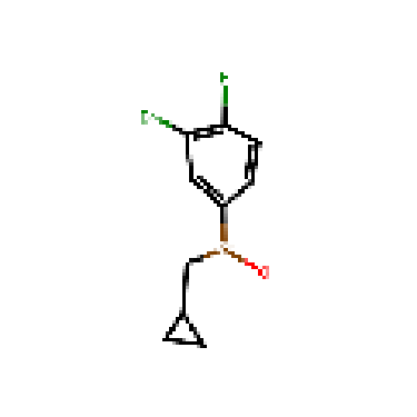 [O-][S+](CC1CC1)c1ccc(F)c(Br)c1